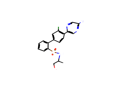 CCC(CO)NS(=O)(=O)c1ccccc1-c1ccc(-c2cnc(N)cn2)c(F)c1